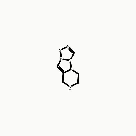 C1=NSN2C=C3CNCCN3N12